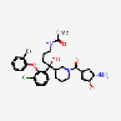 CCc1ccccc1Oc1c(Cl)cccc1[C@](O)(CCCNC(=O)OC)[C@@H]1CCCN(C(=O)C2C[C@@H](N)[C@@H](O)C2)C1